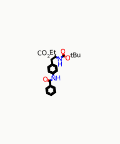 CCOC(=O)[C@H](Cc1ccc(NC(=O)c2ccccc2)cc1)NC(=O)OC(C)(C)C